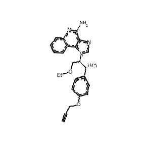 C#CCOc1ccc(C[C@@H](COCC)n2cnc3c(N)nc4ccccc4c32)cc1.Cl